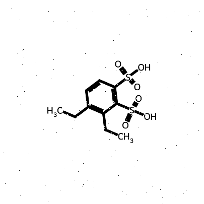 CCc1ccc(S(=O)(=O)O)c(S(=O)(=O)O)c1CC